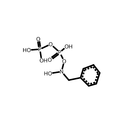 O=P(O)(O)OP(=O)(O)ON(O)Cc1ccccc1